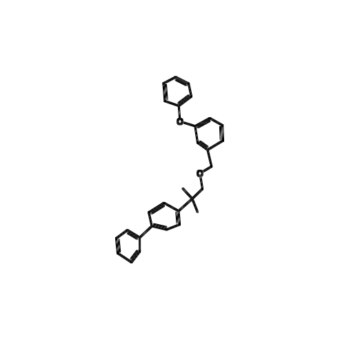 CC(C)(COCc1cccc(Oc2ccccc2)c1)c1ccc(-c2ccccc2)cc1